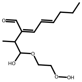 CCC/C=C/C=C(\C=O)C(C)C(O)OCCOO